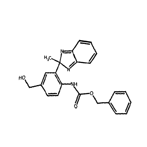 CC1(c2cc(CO)ccc2NC(=O)OCc2ccccc2)N=c2ccccc2=N1